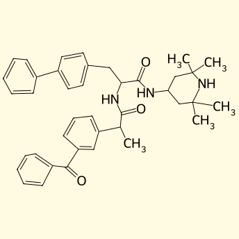 CC(C(=O)NC(Cc1ccc(-c2ccccc2)cc1)C(=O)NC1CC(C)(C)NC(C)(C)C1)c1cccc(C(=O)c2ccccc2)c1